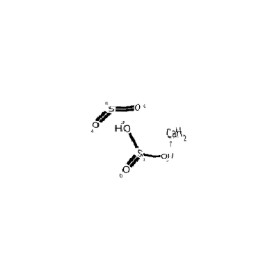 O=S(O)O.O=S=O.[CaH2]